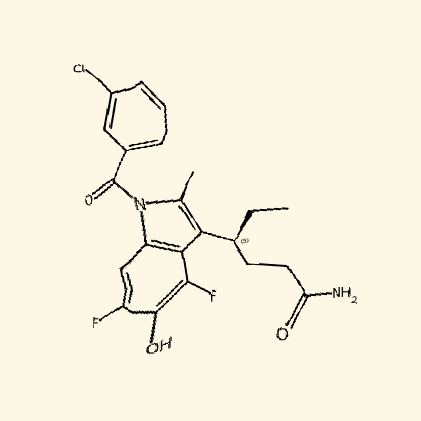 CC[C@@H](CCC(N)=O)c1c(C)n(C(=O)c2cccc(Cl)c2)c2cc(F)c(O)c(F)c12